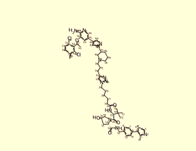 Cc1ncsc1-c1ccc(CNC(=O)[C@@H]2C[C@@H](O)CN2C(=O)C(NC(=O)CCCCCn2cc(CCCN3CCCC(n4cc(-c5cnc(N)c(OC(C)c6c(Cl)ccc(F)c6Cl)c5)cn4)C3)nn2)C(C)(C)C)cc1